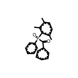 Cc1ccc(C)c(P(=O)(C(=O)c2ccccc2)c2ccccc2)c1C